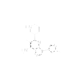 Cc1c(C2CCCNC2)nc2c(-c3cnn(C)c3)cnn2c1N